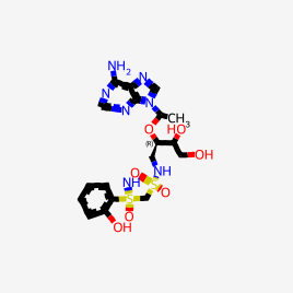 CC(O[C@H](CNS(=O)(=O)CS(=N)(=O)c1ccccc1O)C(O)CO)n1cnc2c(N)ncnc21